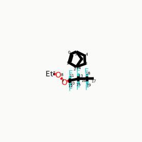 C1=CC2CCC1C2.CCOOC(F)(F)C(F)(F)C(C)(F)F